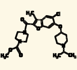 COC(=O)N1CCN(C(=O)c2oc3cc(OC4CCN(C(C)C)CC4)c(Cl)cc3c2C)CC1